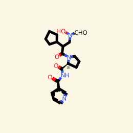 O=CN(O)CC(C(=O)N1CCC[C@H]1C(=O)NC(=O)c1cccnc1)C1CCCC1